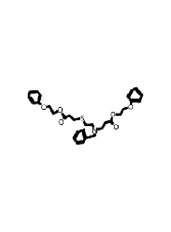 O=C(CCSCCN(CCC(=O)OCCOc1ccccc1)Cc1ccccc1)OCCOc1ccccc1